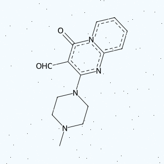 CN1CCN(c2nc3ccccn3c(=O)c2C=O)CC1